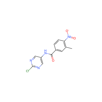 Cc1cc(C(=O)Nc2cnc(Cl)nc2)ccc1[N+](=O)[O-]